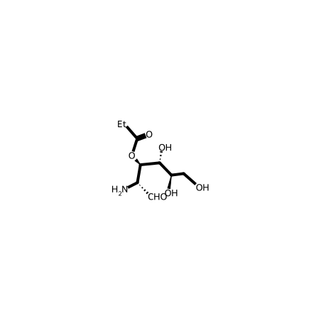 CCC(=O)O[C@@H]([C@H](O)[C@H](O)CO)[C@@H](N)C=O